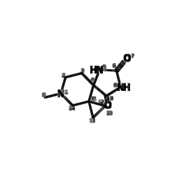 CN1CCC2(NC(=O)NC2=O)C2(CC2)C1